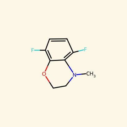 CN1CCOc2c(F)ccc(F)c21